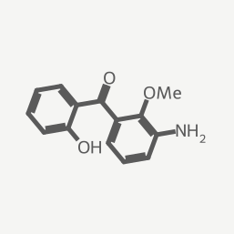 COc1c(N)cccc1C(=O)c1ccccc1O